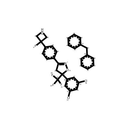 FC1(c2ccc(C3=NOC(c4cc(Cl)cc(Cl)c4)(C(F)(F)F)C3)cc2)CNC1.c1ccc(Cc2ccccc2)cc1